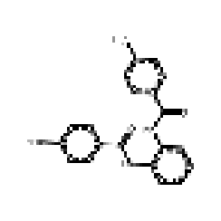 CC(C)(C)c1ccc(C(=O)Nc2ccccc2NC(=O)c2ccc(N)cc2)cc1